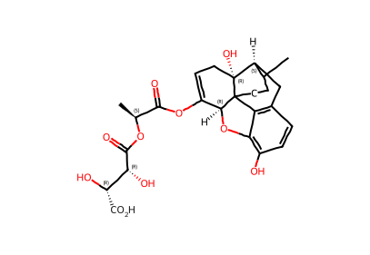 CC1CCC23c4c5ccc(O)c4O[C@H]2C(OC(=O)[C@H](C)OC(=O)[C@H](O)[C@@H](O)C(=O)O)=CC[C@@]3(O)[C@H]1C5